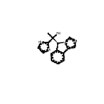 CC(O)(c1ncc[nH]1)[C@@H]1c2ccccc2-c2cncn21